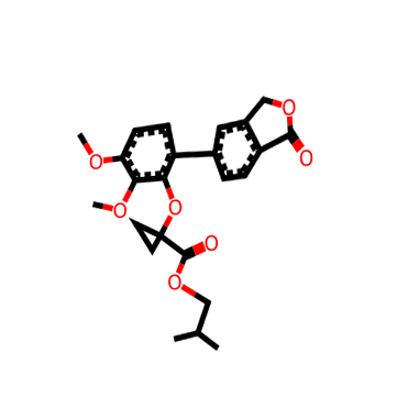 COc1ccc(-c2ccc3c(c2)COC3=O)c(OC2(C(=O)OCC(C)C)CC2)c1OC